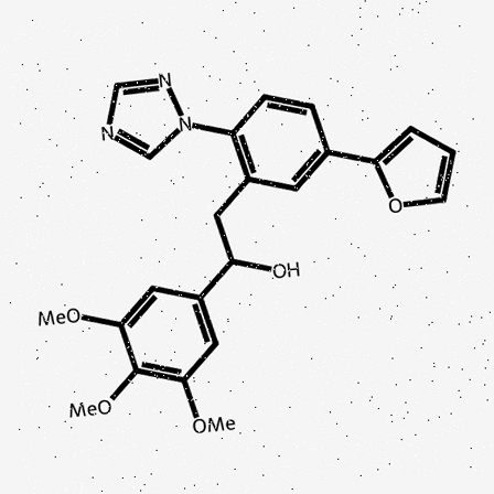 COc1cc(C(O)Cc2cc(-c3ccco3)ccc2-n2cncn2)cc(OC)c1OC